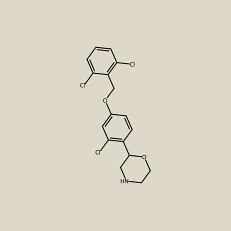 Clc1cc(OCc2c(Cl)cccc2Cl)ccc1C1CNCCO1